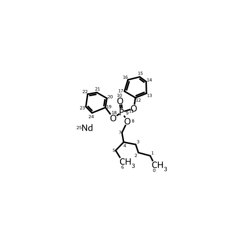 CCCCC(CC)COP(=O)(Oc1ccccc1)Oc1ccccc1.[Nd]